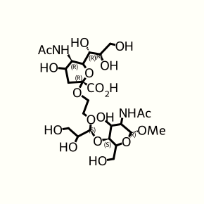 CO[C@@H]1OC(CO)[C@@H](O[C@H](OCCO[C@]2(C(=O)O)CC(O)[C@@H](NC(C)=O)C([C@H](O)[C@H](O)CO)O2)C(O)CO)C(O)C1NC(C)=O